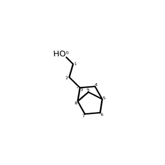 OCC[C]1CC2CCC1C2